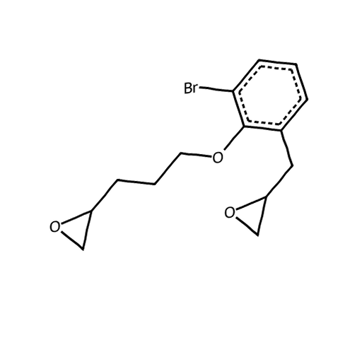 Brc1cccc(CC2CO2)c1OCCCC1CO1